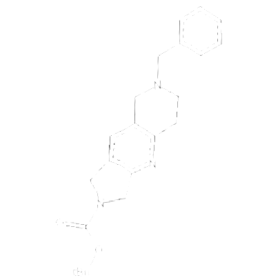 CC(C)(C)OC(=O)N1Cc2cc3c(nc2C1)CCN(Cc1ccccc1)C3